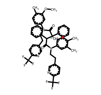 COc1cc(N(CCc2ccc(C(F)(F)F)nc2)C(=O)[C@@](O)(c2ccccc2)C(C(=O)N(CCc2ccc(C(F)(F)F)nc2)c2ccc(C)c(C)c2)c2ccccc2)ccc1C